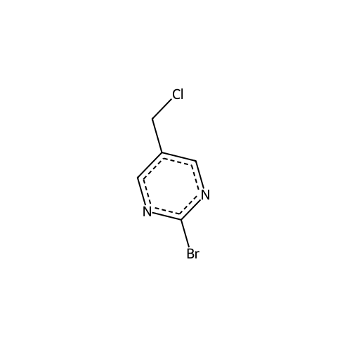 ClCc1cnc(Br)nc1